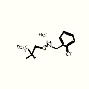 CCOC(=O)C(C)(C)CONCc1ccccc1Cl.Cl